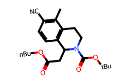 CCCCOC(=O)CC1c2ccc(C#N)c(C)c2CCN1C(=O)OC(C)(C)C